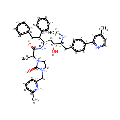 Cc1ccnc(-c2ccc(C[C@H](NC(=O)O)[C@H](O)C[C@H](NC(=O)[C@@H](N3CCN(Cc4cccc(C)n4)C3=O)C(C)(C)C)C(Cc3ccccc3)c3ccccc3)cc2)c1